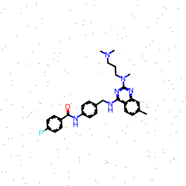 Cc1ccc2c(NCc3ccc(NC(=O)c4ccc(F)cc4)cc3)nc(N(C)CCCN(C)C)nc2c1